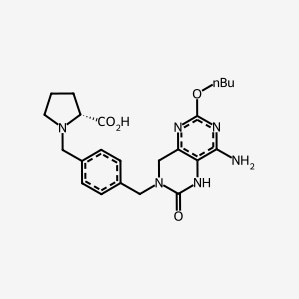 CCCCOc1nc(N)c2c(n1)CN(Cc1ccc(CN3CCC[C@@H]3C(=O)O)cc1)C(=O)N2